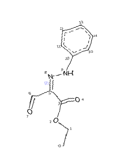 CCOC(=O)/C(C=O)=N\Nc1ccccc1